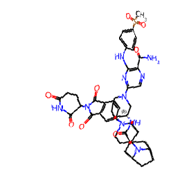 CS(=O)(=O)c1ccc(Nc2nc(N3CCC[C@@H](NC(=O)C4CC5CCC(C4)N5C4CCN(c5ccc6c(c5)C(=O)N(C5CCC(=O)NC5=O)C6=O)CC4)C3)cnc2C(N)=O)cc1